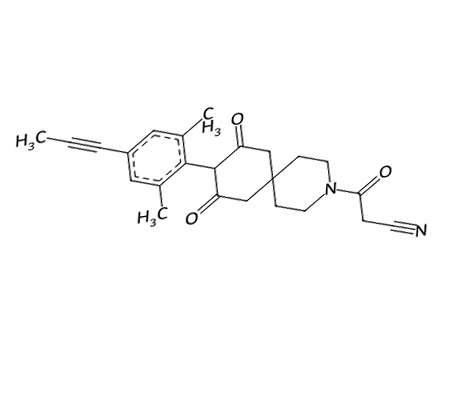 CC#Cc1cc(C)c(C2C(=O)CC3(CCN(C(=O)CC#N)CC3)CC2=O)c(C)c1